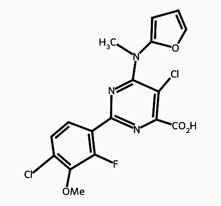 COc1c(Cl)ccc(-c2nc(C(=O)O)c(Cl)c(N(C)c3ccco3)n2)c1F